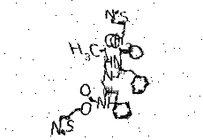 CC(C)CCN(C[C@@H](Cc1ccccc1)NC(=O)OCc1cncs1)C[C@H](Cc1ccccc1)NC(=O)OCc1cncs1